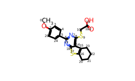 COc1ccc(-c2nc(SCC(=O)O)c3c4c(sc3n2)CCCC4)cc1